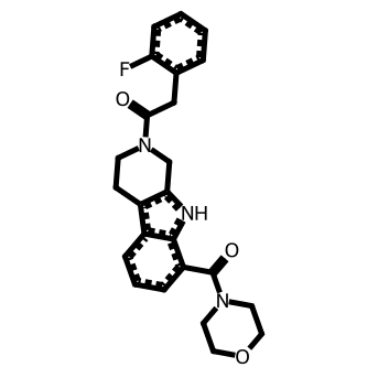 O=C(Cc1ccccc1F)N1CCc2c([nH]c3c(C(=O)N4CCOCC4)cccc23)C1